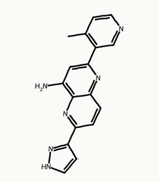 Cc1ccncc1-c1cc(N)c2nc(-c3[c]c[nH]n3)ccc2n1